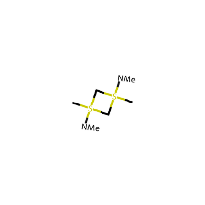 CNS1(C)CS(C)(NC)C1